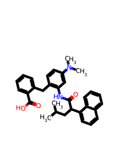 CC(C)CC(C(=O)Nc1cc(N(C)C)ccc1Cc1ccccc1C(=O)O)c1cccc2ccccc12